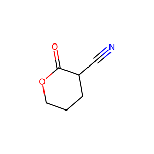 N#CC1CCCOC1=O